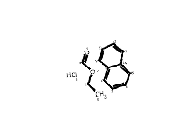 CCOC=O.Cl.c1ccc2ccccc2c1